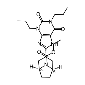 CCCn1c(=O)c2[nH]c([C@@H]3C[C@H]4CC[C@@H](C3)N4C(=O)OCC)nc2n(CCC)c1=O